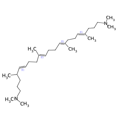 C/C(=C\CC/C=C(\C)CC/C=C(\C)CCCN(C)C)CC/C=C/C(C)CCCN(C)C